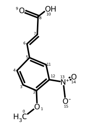 COc1ccc(/C=C/C(=O)O)cc1[N+](=O)[O-]